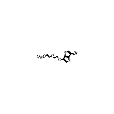 COCCOCCOc1csc2c(Br)csc12